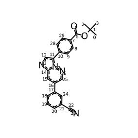 CC(C)(C)OC(=O)c1ccc(-c2cnc3cc(-c4cccc(C#N)c4)cnn23)cc1